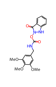 COc1cc(CNC(=O)On2[nH]c3ccccc3c2=O)cc(OC)c1OC